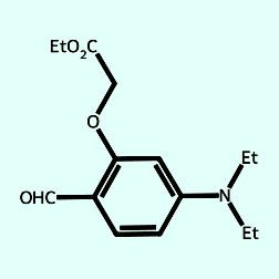 CCOC(=O)COc1cc(N(CC)CC)ccc1C=O